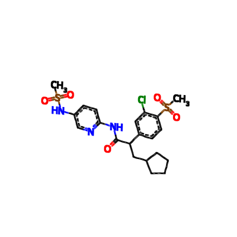 CS(=O)(=O)Nc1ccc(NC(=O)C(CC2CCCC2)c2ccc(S(C)(=O)=O)c(Cl)c2)nc1